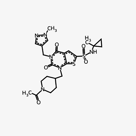 CC(=O)N1CCC(Cn2c(=O)n(Cc3cnn(C)c3)c(=O)c3cc(S(=O)(=O)NC4(C)CC4)sc32)CC1